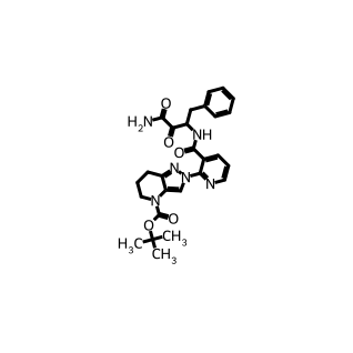 CC(C)(C)OC(=O)N1CCCc2nn(-c3ncccc3C(=O)NC(Cc3ccccc3)C(=O)C(N)=O)cc21